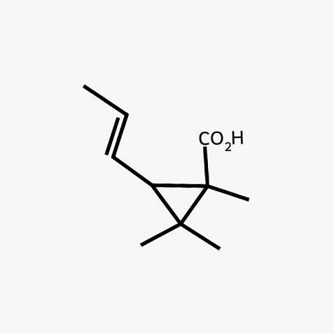 CC=CC1C(C)(C)C1(C)C(=O)O